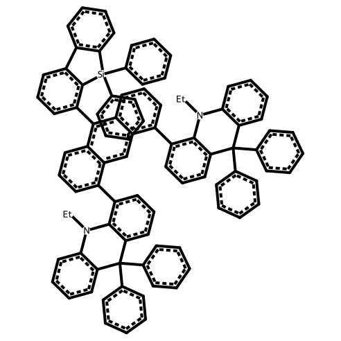 CCN1c2ccccc2C(c2ccccc2)(c2ccccc2)c2cccc(-c3cccc4c(-c5cccc6c5[Si](c5ccccc5)(c5ccccc5)c5ccccc5-6)c5cccc(-c6cccc7c6N(CC)c6ccccc6C7(c6ccccc6)c6ccccc6)c5cc34)c21